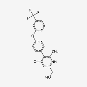 Cc1[nH]c(CO)cc(=O)c1-c1ccc(Oc2cccc(C(F)(F)F)c2)cc1